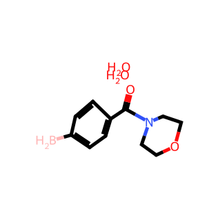 Bc1ccc(C(=O)N2CCOCC2)cc1.O.O